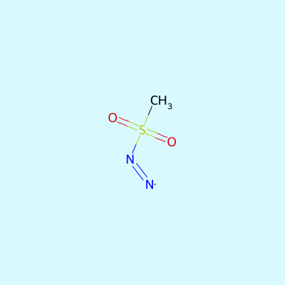 CS(=O)(=O)N=[N]